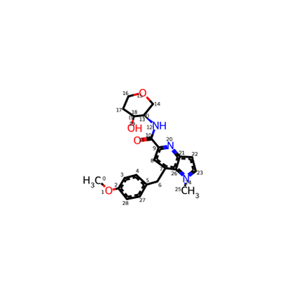 COc1ccc(Cc2cc(C(=O)N[C@@H]3COCC[C@@H]3O)nc3ccn(C)c23)cc1